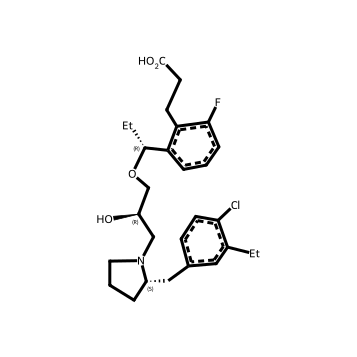 CCc1cc(C[C@@H]2CCCN2C[C@@H](O)CO[C@H](CC)c2cccc(F)c2CCC(=O)O)ccc1Cl